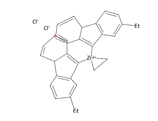 CCc1ccc2c(c1)[C]([Zr+2]1([C]3=C4C=CC=CC4c4ccc(CC)cc43)[CH2][CH2]1)=C1C=CC=CC12.[Cl-].[Cl-]